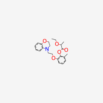 CCOC(C)C(=O)Oc1c(C)cccc1OCCN1CCOc2ccccc21